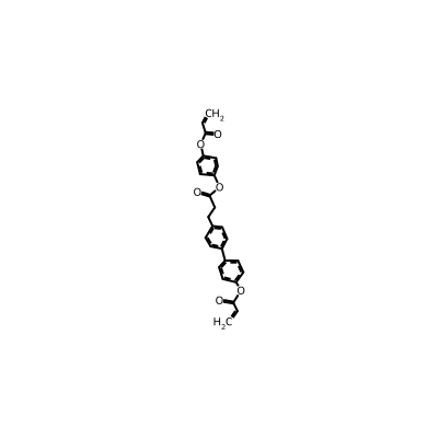 C=CC(=O)Oc1ccc(OC(=O)CCc2ccc(-c3ccc(OC(=O)C=C)cc3)cc2)cc1